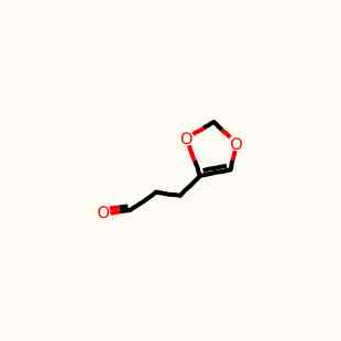 O=CCCC1=COCO1